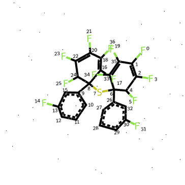 FC1=C(F)C(F)C(SC2(c3cccc(F)c3)C(F)=C(F)C(F)=C(F)C2F)(c2cccc(F)c2)C(F)=C1F